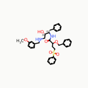 COc1cccc(CNC[C@H](O)[C@H](Cc2ccccc2)NC(=O)C(CCS(=O)(=O)c2ccccc2)OCc2ccccc2)c1